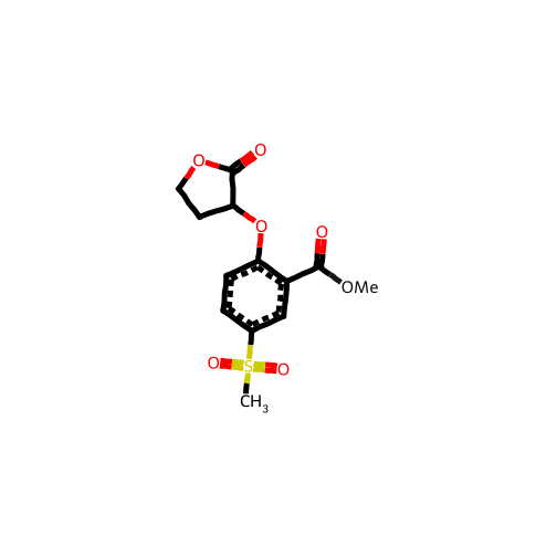 COC(=O)c1cc(S(C)(=O)=O)ccc1OC1CCOC1=O